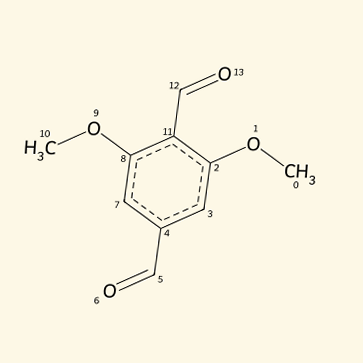 COc1cc(C=O)cc(OC)c1C=O